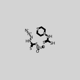 S=C(S)NN1CCSCC1.[N-]=[N+]=NNC(=S)[S][Mo](=[O])=[O]